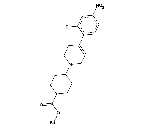 CC(C)(C)OC(=O)C1CCC(N2CC=C(c3ccc([N+](=O)[O-])cc3F)CC2)CC1